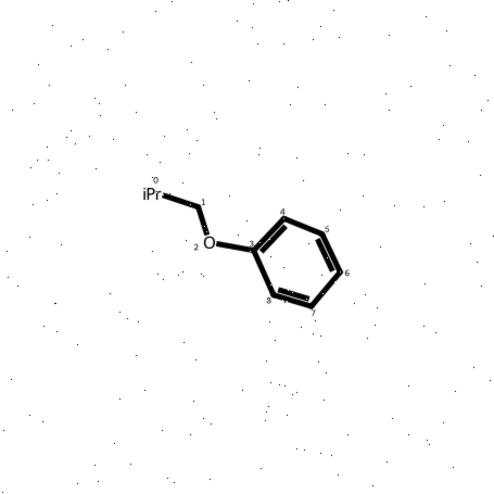 [CH]C(C)COc1ccccc1